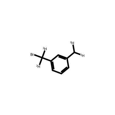 [2H]C([2H])c1cccc(C([2H])([2H])Br)c1